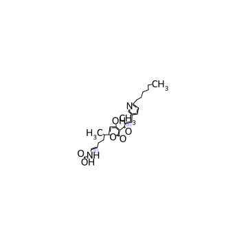 CCCCCCc1ccc(/C=C(\C)C(=O)c2c(O)cc(C(C)CC/C=C/NC(=O)O)oc2=O)cn1